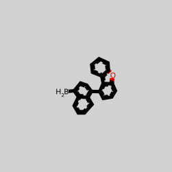 Bc1ccc(-c2cccc3oc4ccccc4c23)c2ccccc12